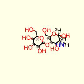 [2H]N[C@]1([2H])[C@@H](O)[C@H](O[C@@H]2O[C@H](CO)[C@H](O)[C@H](O)[C@H]2O)[C@@H](CO)OC1([2H])O